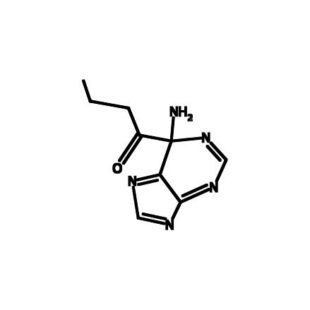 CCCC(=O)C1(N)N=CN=C2N=CN=C21